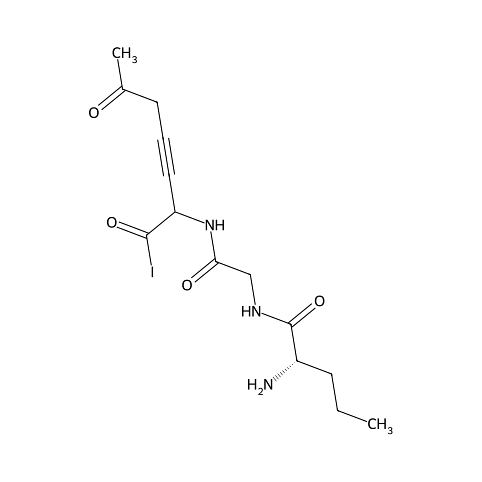 CCC[C@H](N)C(=O)NCC(=O)NC(C#CCC(C)=O)C(=O)I